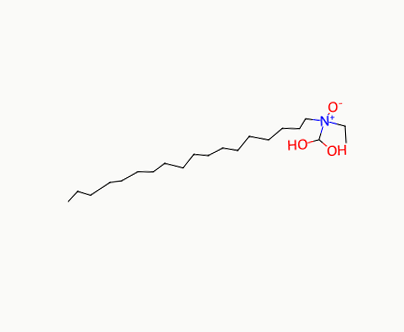 CCCCCCCCCCCCCCCCCC[N+]([O-])(CC)C(O)O